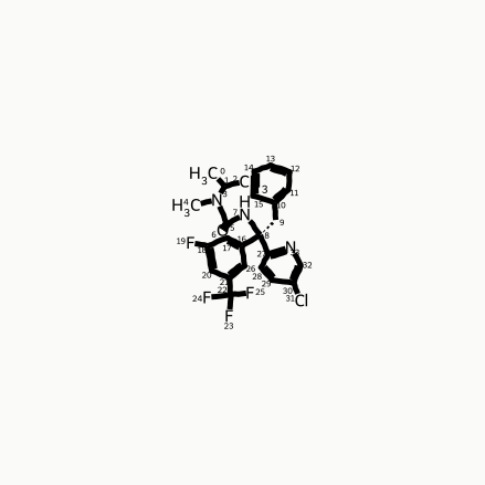 CC(C)N(C)C(=O)N[C@](Cc1ccccc1)(c1cc(F)cc(C(F)(F)F)c1)c1ccc(Cl)cn1